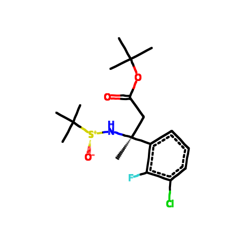 CC(C)(C)OC(=O)C[C@](C)(N[S@+]([O-])C(C)(C)C)c1cccc(Cl)c1F